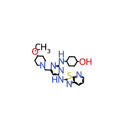 COC1CCN(Cc2cc(Nc3nc4cccnc4s3)nc(NC3CCC(O)CC3)n2)CC1